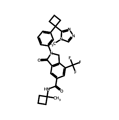 Cn1cnnc1C1(c2cccc(N3Cc4c(cc(C(=O)NC5(C)CCC5)cc4C(F)(F)F)C3=O)c2)CCC1